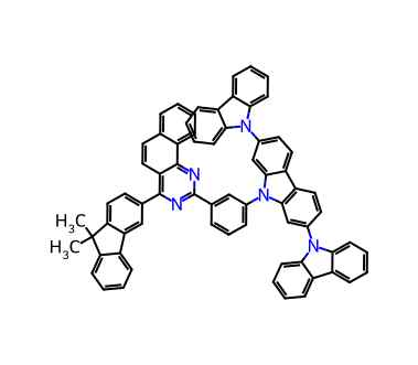 CC1(C)c2ccccc2-c2cc(-c3nc(-c4cccc(-n5c6cc(-n7c8ccccc8c8ccccc87)ccc6c6ccc(-n7c8ccccc8c8ccccc87)cc65)c4)nc4c3ccc3ccccc34)ccc21